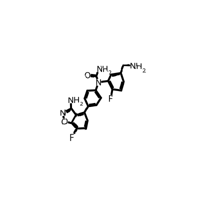 NCc1ccc(F)c(N(C(N)=O)c2ccc(-c3ccc(F)c4onc(N)c34)cc2)c1